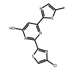 Cc1cnc(-c2cc(O)nc(-c3nc(Cl)cs3)n2)s1